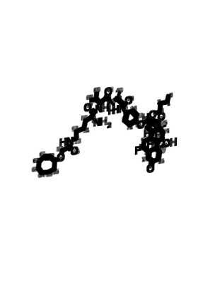 CCCC1O[C@@H]2C[C@H]3[C@@H]4C[C@H](F)C5=CC(=O)C=C[C@]5(C)[C@@]4(F)[C@@H](O)C[C@]3(C)[C@]2(C(=O)COc2ccc(NC(=O)[C@H](C)NC(=O)C(NC(=O)[C@H](N)CCCCNC(=O)COC3C#CCCCCC3)C(C)C)cc2)O1